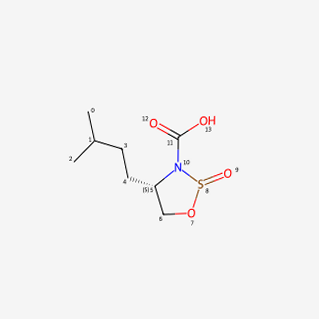 CC(C)CC[C@H]1COS(=O)N1C(=O)O